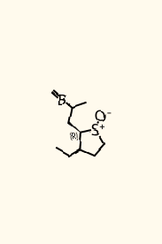 C=BC(C)C[C@@H]1C(CC)CC[S+]1[O-]